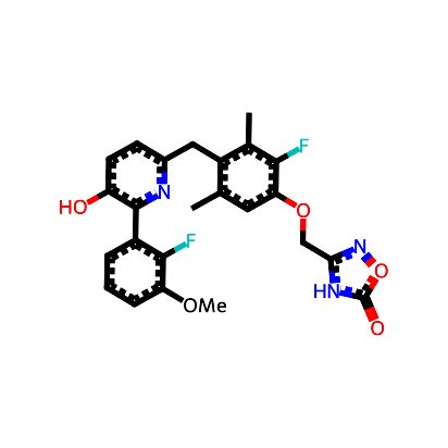 COc1cccc(-c2nc(Cc3c(C)cc(OCc4noc(=O)[nH]4)c(F)c3C)ccc2O)c1F